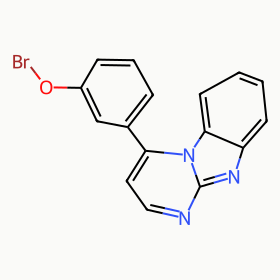 BrOc1cccc(-c2ccnc3nc4ccccc4n23)c1